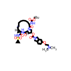 CN(C)CCOc1ccc2c(c1)CN(C(=O)O[C@@H]1C[C@H]3C(=O)N[C@]4(C(=O)NS(=O)(=O)C5CC5)C[C@H]4/C=C/CCCCC[C@H](NC(=O)OC(C)(C)C)C(=O)N3C1)C2